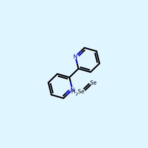 [Se]=[SeH2].c1ccc(-c2ccccn2)nc1